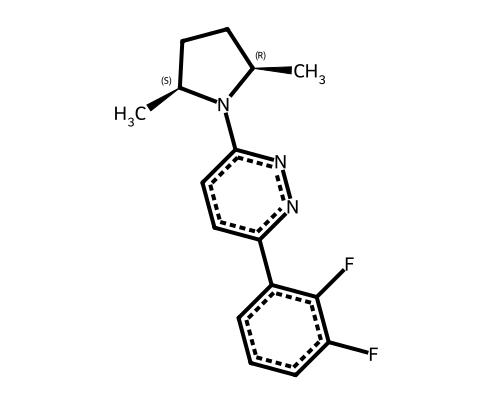 C[C@@H]1CC[C@H](C)N1c1ccc(-c2cccc(F)c2F)nn1